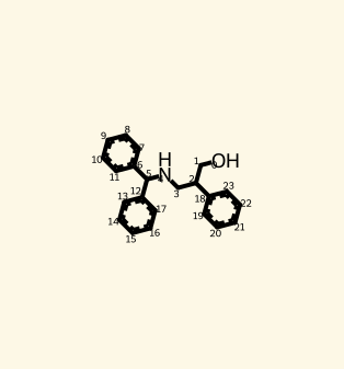 OCC(CNC(c1ccccc1)c1ccccc1)c1ccccc1